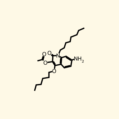 CCCCCCCCn1c(=O)c(OC(C)=O)c(OCCCCCC)c2ccc(N)cc21